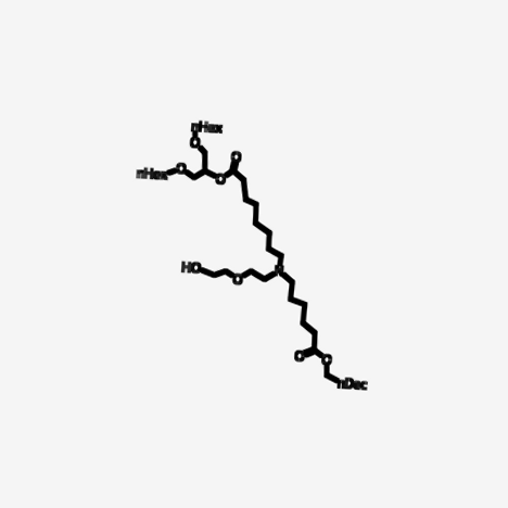 CCCCCCCCCCCOC(=O)CCCCCN(CCCCCCCC(=O)OC(COCCCCCC)COCCCCCC)CCOCCO